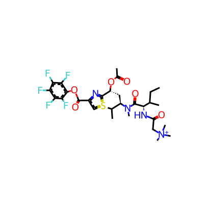 CCC(C)[C@H](NC(=O)C[N+](C)(C)C)C(=O)N(C)[C@H](C[C@@H](OC(C)=O)c1nc(C(=O)Oc2c(F)c(F)c(F)c(F)c2F)cs1)C(C)C